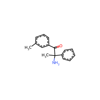 Cc1cccc(C(=O)C(C)(N)c2ccccc2)c1